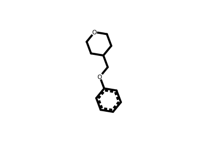 c1ccc(OCC2CCOCC2)cc1